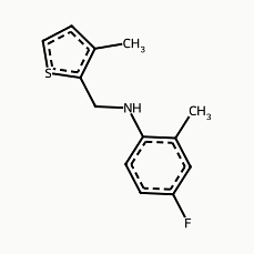 Cc1cc(F)ccc1NCc1sccc1C